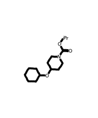 CC(C)OC(=O)N1CCC(OC2CCCCC2)CC1